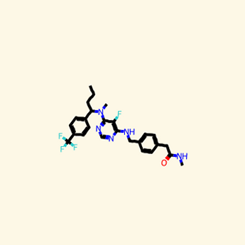 CCCC(c1ccc(C(F)(F)F)cc1)N(C)c1ncnc(NCc2ccc(CC(=O)NC)cc2)c1F